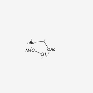 CCCCCOC(C)=O.COC